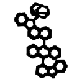 c1ccc2c(c1)-c1ccc3c(-c4c5ccccc5c(-c5cccc6oc7ccccc7c56)c5ccccc45)cccc3c1C2C12CC3CC(CC(C3)C1)C2